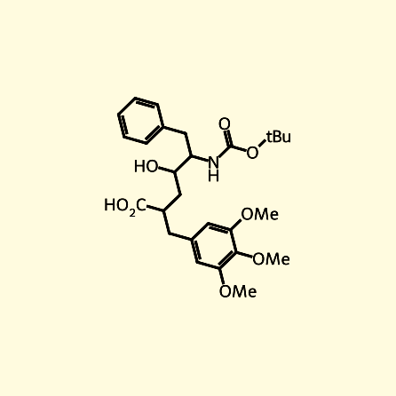 COc1cc(CC(CC(O)C(Cc2ccccc2)NC(=O)OC(C)(C)C)C(=O)O)cc(OC)c1OC